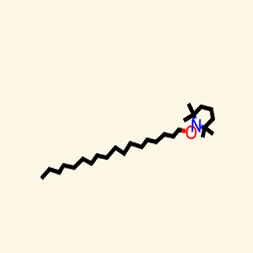 CCCCCCCCCCCCCCCCCCON1C(C)(C)CCCC1(C)C